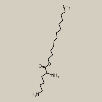 CCCCCCCCCCCCCOC(=O)C(N)CCCCN